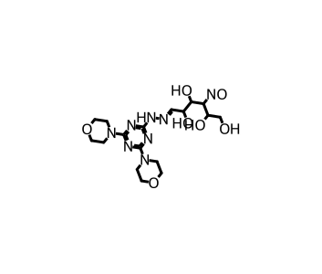 O=NC(C(O)CO)C(O)C(O)/C=N/Nc1nc(N2CCOCC2)nc(N2CCOCC2)n1